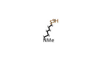 CNCCCCCCSS